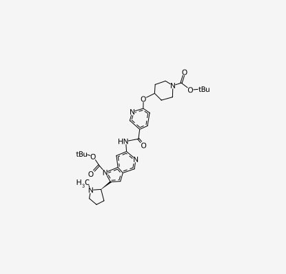 CN1CCC[C@@H]1c1cc2cnc(NC(=O)c3ccc(OC4CCN(C(=O)OC(C)(C)C)CC4)nc3)cc2n1C(=O)OC(C)(C)C